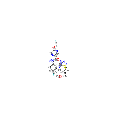 CC1OCC[C@]2(c3cc(NC(=O)c4cnc(OCF)cn4)ccc3F)N=C(N)SC[C@H]12